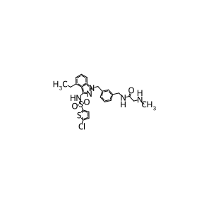 CCc1cccc2c1c(NS(=O)(=O)c1ccc(Cl)s1)nn2Cc1cccc(CNC(=O)CNC)c1